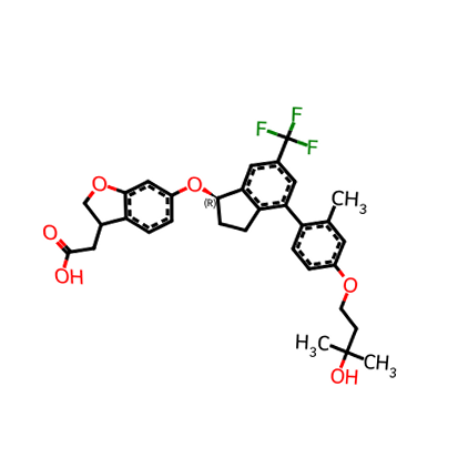 Cc1cc(OCCC(C)(C)O)ccc1-c1cc(C(F)(F)F)cc2c1CC[C@H]2Oc1ccc2c(c1)OCC2CC(=O)O